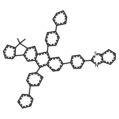 CC1(C)c2ccccc2-c2cc3c(-c4ccc(-c5ccccc5)cc4)c4ccc(-c5ccc(-c6nc7ccccc7s6)cc5)cc4c(-c4ccc(-c5ccccc5)cc4)c3cc21